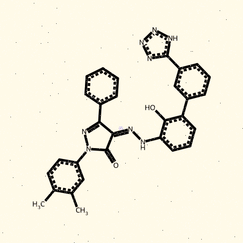 Cc1ccc(N2N=C(c3ccccc3)/C(=N/Nc3cccc(-c4cccc(-c5nnn[nH]5)c4)c3O)C2=O)cc1C